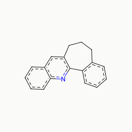 c1ccc2c(c1)CCCc1cc3ccccc3nc1-2